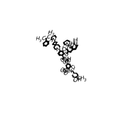 CC(C)c1ccccc1[C@H]1CCCN1C1CC2(CCN(c3ccc(C(=O)NS(=O)(=O)c4cc5c(c([N+](=O)[O-])c4)N[C@@H]([C@H]4CC[C@](C)(O)CC4)CO5)c(Oc4cc5cc[nH]c5nc4OC[C@@H]4CCCN4)c3)CC2)C1